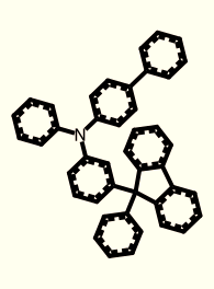 c1ccc(-c2ccc(N(c3ccccc3)c3cccc(C4(c5ccccc5)c5ccccc5-c5ccccc54)c3)cc2)cc1